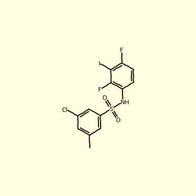 Cc1cc(Cl)cc(S(=O)(=O)Nc2ccc(F)c(I)c2F)c1